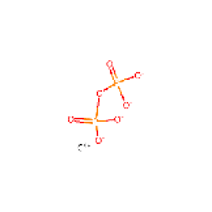 O=P([O-])([O-])OP(=O)([O-])[O-].[C+4]